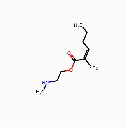 CCCC=C(C)C(=O)OCCNC